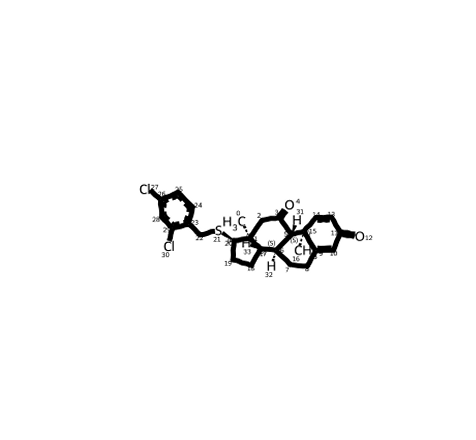 C[C@]12CC(=O)[C@H]3[C@@H](CCC4=CC(=O)C=C[C@@]43C)[C@@H]1CC[C@H]2SCc1ccc(Cl)cc1Cl